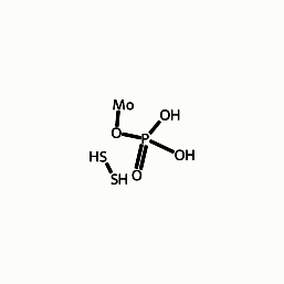 O=P(O)(O)[O][Mo].SS